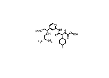 COCC(NC[C@H](N)C(F)(F)F)c1ccnc(NC(=O)[C@@H](NC(=O)OC(C)(C)C)C2CCC(C)CC2)c1